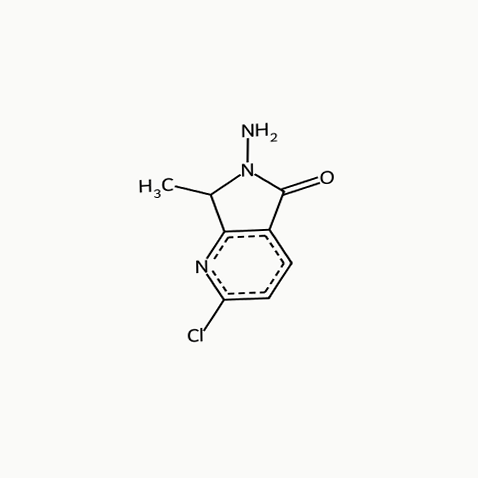 CC1c2nc(Cl)ccc2C(=O)N1N